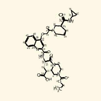 CCOC(=O)N1CCN(C(=O)[C@H](CCC(=O)O)NC(=O)c2cc(OCC(=O)N3CCCC(C(=O)NC4CC4)C3)c3ccccc3n2)CC1